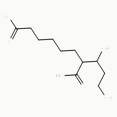 CCCC(C)C(CCCCCC(=O)O)C(=O)O